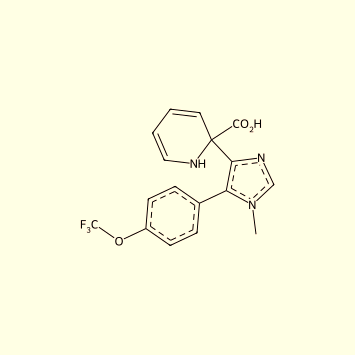 Cn1cnc(C2(C(=O)O)C=CC=CN2)c1-c1ccc(OC(F)(F)F)cc1